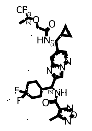 Cc1nonc1C(=O)N[C@H](c1cn2ncc([C@H](NC(=O)CO[C@@H](C)C(F)(F)F)C3CC3)cc2n1)C1CCC(F)(F)CC1